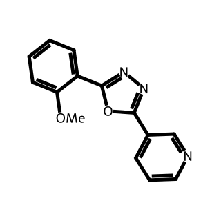 COc1ccccc1-c1nnc(-c2cccnc2)o1